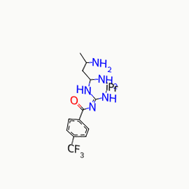 CC(N)CC(N)N/C(=N\C(=O)c1ccc(C(F)(F)F)cc1)NC(C)C